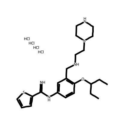 CCC(CC)Oc1ccc(NC(=N)c2cccs2)cc1CNCCN1CCNCC1.Cl.Cl.Cl.Cl